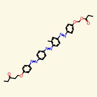 CCC(=O)CCOc1ccc(N=Nc2ccc(N=Nc3ccc(N=Nc4ccc(OCOC(=O)CC)cc4)cc3C)cc2)cc1